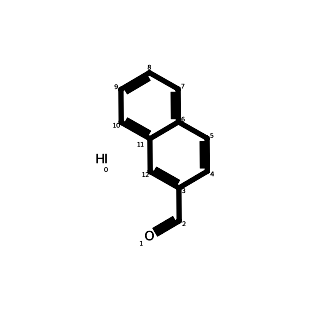 I.O=Cc1ccc2ccccc2c1